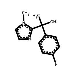 Cn1ccnc1C(C)(O)c1ccc(F)cc1